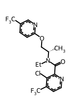 CCN(C(=O)c1nccc(C(F)(F)F)c1Cl)[C@@H](C)COc1ccc(C(F)(F)F)cn1